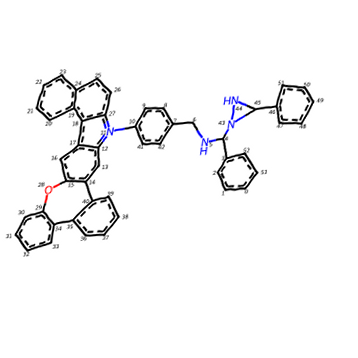 c1ccc(C(NCc2ccc(-n3c4cc5c(cc4c4c6ccccc6ccc43)Oc3ccccc3-c3ccccc3-5)cc2)N2NC2c2ccccc2)cc1